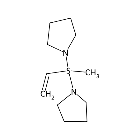 C=CS(C)(N1CCCC1)N1CCCC1